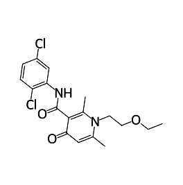 CCOCCn1c(C)cc(=O)c(C(=O)Nc2cc(Cl)ccc2Cl)c1C